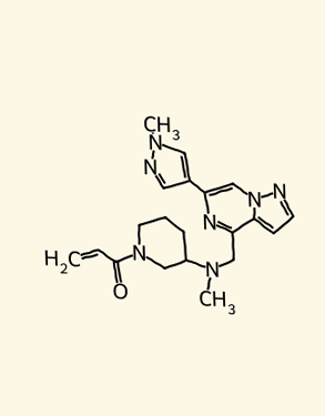 C=CC(=O)N1CCCC(N(C)Cc2nc(-c3cnn(C)c3)cn3nccc23)C1